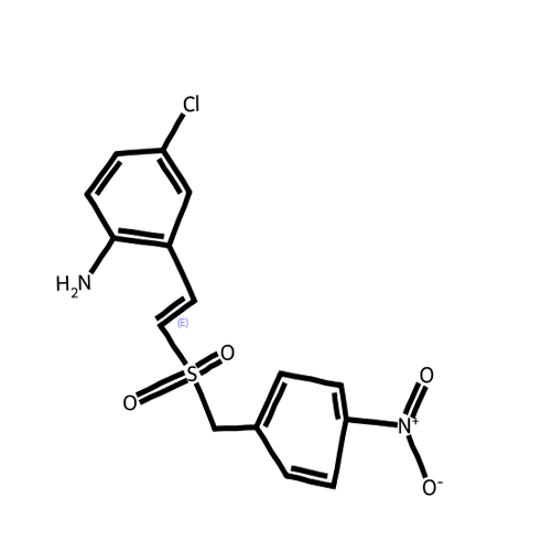 Nc1ccc(Cl)cc1/C=C/S(=O)(=O)Cc1ccc([N+](=O)[O-])cc1